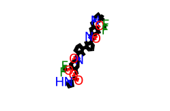 Cc1c(-c2nc3cc(COC(=O)[C@@H]4CCCN4)c(OC(F)F)cc3o2)cccc1-c1cccc(-c2nc3cc(CN4CCC(C)(C)C4)c(OC(F)F)cc3o2)c1C